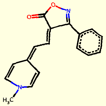 CN1C=CC(=C/C=C2\C(=O)ON=C2c2ccccc2)C=C1